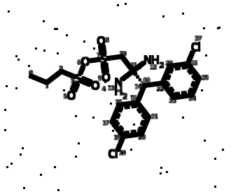 CCCS(=O)(=O)OS(=O)(=O)CC(N)(N)[C@@H](c1ccc(Cl)cc1)c1cccc(Cl)c1